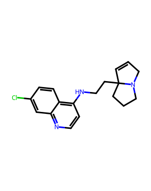 Clc1ccc2c(NCCC34C=CCN3CCC4)ccnc2c1